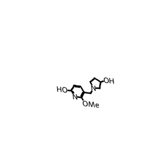 COc1nc(O)ccc1CN1CCC(O)C1